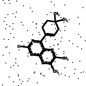 Cc1nc2nc(Cl)nc(C3=CCC(C)(C)CC3)c2nc1C